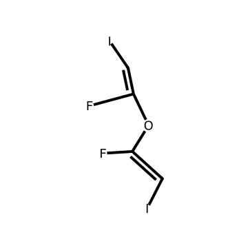 FC(=CI)OC(F)=CI